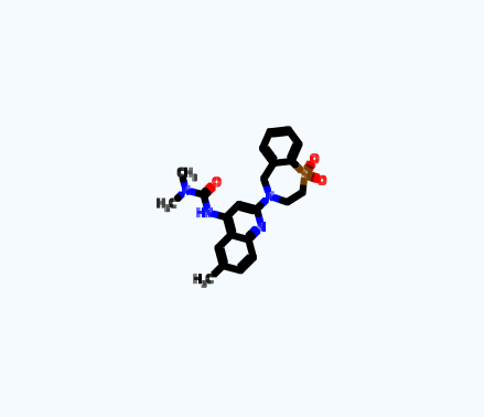 Cc1ccc2nc(N3CCS(=O)(=O)c4ccccc4C3)cc(NC(=O)N(C)C)c2c1